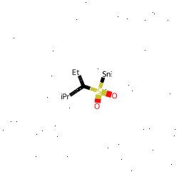 CCC(C(C)C)[S](=O)(=O)[Sn]